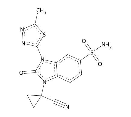 Cc1nnc(-n2c(=O)n(C3(C#N)CC3)c3ccc(S(N)(=O)=O)cc32)s1